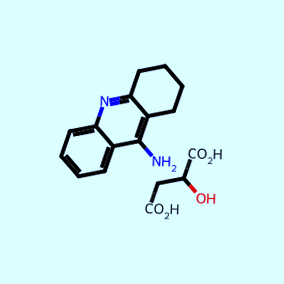 Nc1c2c(nc3ccccc13)CCCC2.O=C(O)CC(O)C(=O)O